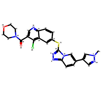 Cn1cc(-c2ccc3nnc(Sc4ccc5ncc(C(=O)N6CCOCC6)c(Cl)c5c4)n3c2)cn1